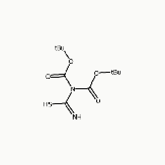 CC(C)(C)OC(=O)N(C(=N)S)C(=O)OC(C)(C)C